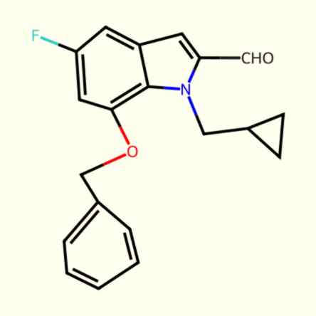 O=Cc1cc2cc(F)cc(OCc3ccccc3)c2n1CC1CC1